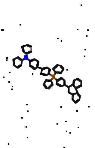 c1ccc(N(c2ccccc2)c2ccc(-c3ccc(S(c4ccccc4)(c4ccccc4)c4ccc(-c5cc6ccccc6c6ccccc56)cc4)cc3)cc2)cc1